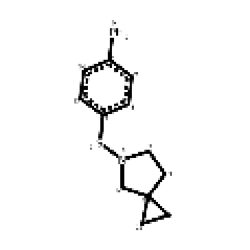 Pc1ccc(SN2CCC3(CC3)C2)cc1